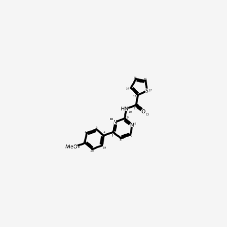 COc1ccc(-c2ccnc(NC(=O)c3cccs3)n2)cc1